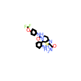 NC(=O)c1nc2c(s1)C(c1ccccc1N)N(C(=O)Nc1ccc(OC(F)F)cc1)CC2